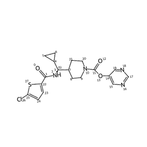 O=C(N[C@@H](C1CC1)C1CCN(C(=O)Oc2cncnc2)CC1)c1ccc(Cl)s1